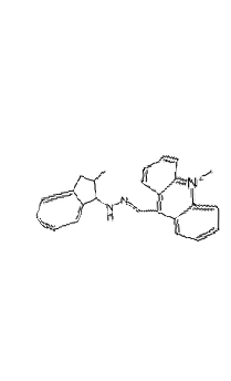 CC1Cc2ccccc2C1NN=Cc1c2ccccc2[n+](C)c2ccccc12